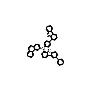 c1ccc(-c2ccc3oc4c(N(c5ccc(-c6cccc7c6sc6ccccc67)cc5)c5ccc6ccc7ccccc7c6c5)cccc4c3c2)cc1